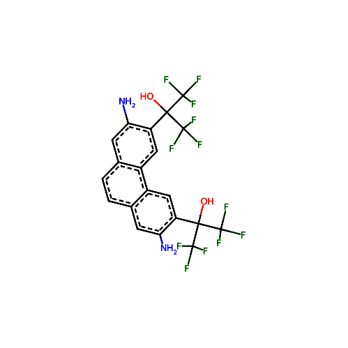 Nc1cc2ccc3cc(N)c(C(O)(C(F)(F)F)C(F)(F)F)cc3c2cc1C(O)(C(F)(F)F)C(F)(F)F